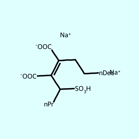 CCCCCCCCCCCC/C(C(=O)[O-])=C(/C(=O)[O-])C(CCC)S(=O)(=O)O.[Na+].[Na+]